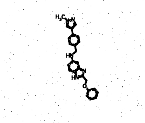 Cn1cc(-c2ccc(CNc3ccc4[nH]c(COc5ccccc5)nc4c3)cc2)cn1